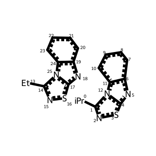 CC(C)c1nsc2nc3ccccc3n12.CCc1nsc2nc3ccccc3n12